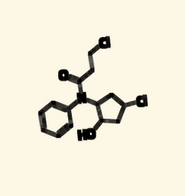 O=C(CCCl)N(c1ccccc1)C1CC(Cl)CC1O